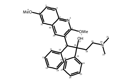 COc1ccc2nc(OC)c(C(c3ccccc3)C(O)(CCN(C)C)c3ccccc3)cc2c1